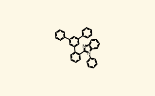 c1ccc(-c2cc(-c3ccccc3)cc(-c3ccccc3-c3nc4ccccc4n3-c3ccccc3)c2)cc1